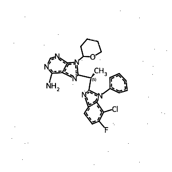 C[C@@H](c1nc2ccc(F)c(Cl)c2n1-c1ccccc1)c1nc2c(N)ncnc2n1C1CCCCO1